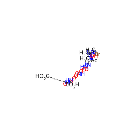 CC(=O)C1=NN(CC(O)N2C[C@@H](C)C[C@H]2C(=O)Nc2nc(Br)ccc2C)C2C(C)CC(c3cnc(CNC(=O)COCCOCCNC(=O)COCCOCCNC(=O)CC[C@H](NC(=O)CCCCCCCCCCCCCCCCC(=O)O)C(=O)O)nc3)CC12